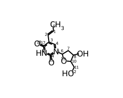 C/C=C/c1cn(C2CC(O)C(CO)O2)c(=O)[nH]c1=O